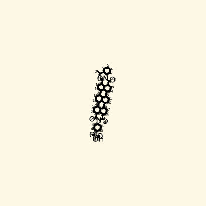 CC(C)c1ccccc1N1C(=O)c2ccc3c4ccc5c6ccc7c8c(ccc(c9ccc(c%10ccc(c2c3%10)C1=O)c4c59)c86)C(=O)N(c1ccc(S(=O)(=O)O)cc1)C7=O